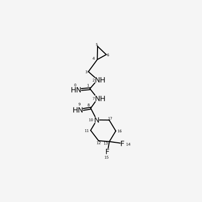 N=C(NCC1CC1)NC(=N)N1CCC(F)(F)CC1